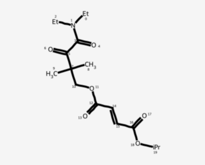 CCN(CC)C(=O)C(=O)C(C)(C)COC(=O)/C=C/C(=O)OC(C)C